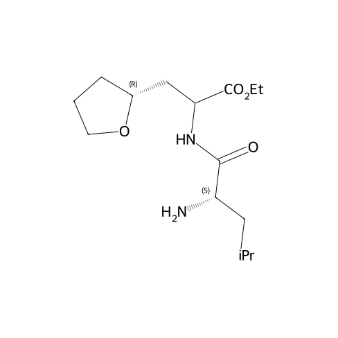 CCOC(=O)C(C[C@H]1CCCO1)NC(=O)[C@@H](N)CC(C)C